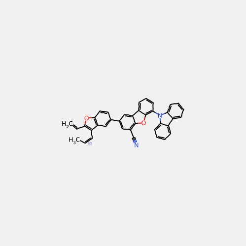 C=Cc1oc2ccc(-c3cc(C#N)c4oc5c(-n6c7ccccc7c7ccccc76)cccc5c4c3)cc2c1/C=C\C